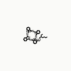 CCCCC(CC)C[O][Co][c]1cccc2c3nc4nc(nc5[nH]c(nc6nc(nc([nH]3)c12)-c1ccccc1-6)c1ccccc51)-c1ccccc1-4